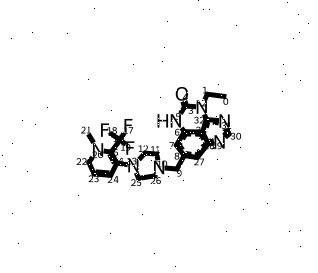 CCN1C(=O)Nc2cc(CN3CCN(C4=C(C(F)(F)F)N(C)CC=C4)CC3)cc3ncnc1c23